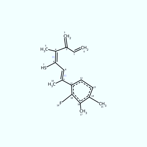 C=CC(=C)/C(C)=C(S)\C=C(/C)c1ccc(C)c(C)c1F